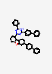 c1ccc(C2=NC(c3cccc4oc5cc(-c6ccc(-c7ccccc7)cc6)ccc5c34)=NC(c3ccc(-c4ccccc4)cc3)N2)cc1